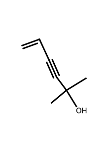 C=CC#CC(C)(C)O